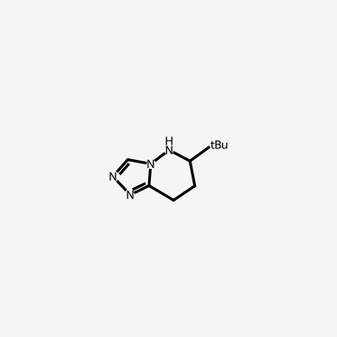 CC(C)(C)C1CCc2nncn2N1